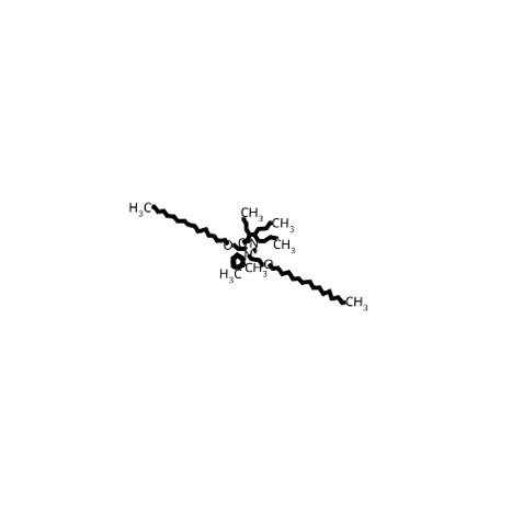 CCCCCCCCCCCCCCCCOCCC[N+](CCCOCCCCCCCCCCCCCCCC)(CN1C(=O)C(CCCC)C(CCCC)C1CCCC)c1cccc(C)c1C